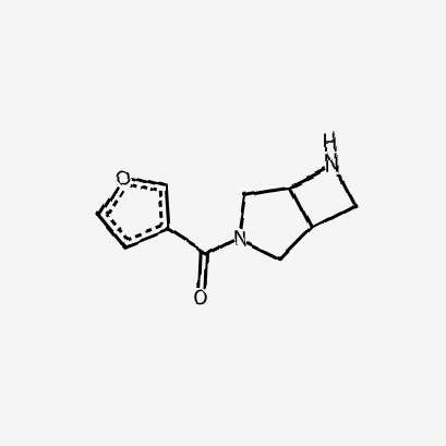 O=C(c1ccoc1)N1CC2CNC2C1